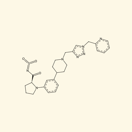 O=C(N=S(=O)=O)[C@@H]1CCCN1c1cccc(C2CCN(Cc3cn(Cc4ccccn4)nn3)CC2)c1